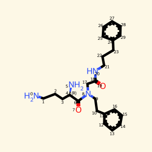 NCCC[C@@H](N)C(=O)N(CCc1ccccc1)CC(=O)NCCCc1ccccc1